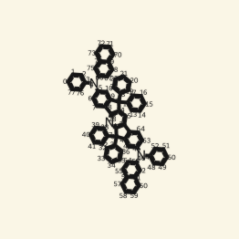 c1ccc(N(c2ccc3c(c2)C(c2ccccc2)(c2ccccc2)c2cc4c(nc2-3)C(c2ccccc2)(c2ccccc2)c2cc(N(c3ccccc3)c3ccc5ccccc5c3)ccc2-4)c2ccc3ccccc3c2)cc1